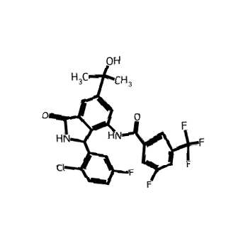 CC(C)(O)c1cc(NC(=O)c2cc(F)cc(C(F)(F)F)c2)c2c(c1)C(=O)NC2c1cc(F)ccc1Cl